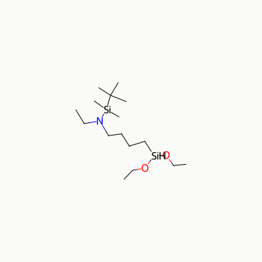 CCO[SiH](CCCCN(CC)[Si](C)(C)C(C)(C)C)OCC